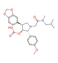 COc1ccc([C@@H]2[C@@H](OC(=O)O)[C@@H](c3ccc4c(c3)OCO4)CN2CC(=O)N(C)CC(C)C)cc1